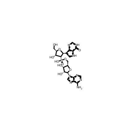 Nc1ncnc2c1ncn2[C@@H]1O[C@H](COP(=O)(O)[C@@H]2[C@H](O)[C@@H](CO)O[C@H]2c2c[nH]c3c(=O)[nH]cnc23)[C@@H](O)[C@H]1O